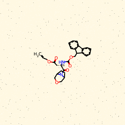 C=CCOC(=O)C[C@H](NC(=O)OCC1c2ccccc2-c2ccccc21)C(=O)N1C2CCC1COC2